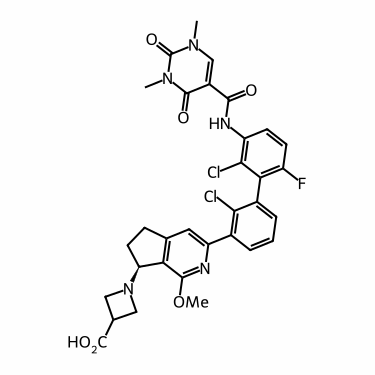 COc1nc(-c2cccc(-c3c(F)ccc(NC(=O)c4cn(C)c(=O)n(C)c4=O)c3Cl)c2Cl)cc2c1[C@@H](N1CC(C(=O)O)C1)CC2